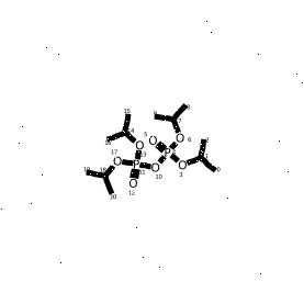 CC(C)OP(=O)(OC(C)C)OP(=O)(OC(C)C)OC(C)C